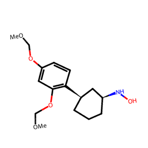 COCOc1ccc([C@@H]2CCC[C@H](NO)C2)c(OCOC)c1